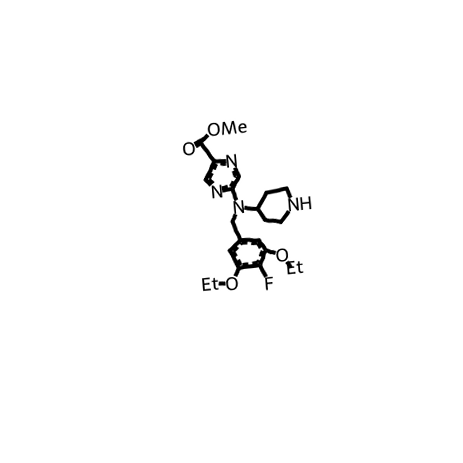 CCOc1cc(CN(c2cnc(C(=O)OC)cn2)C2CCNCC2)cc(OCC)c1F